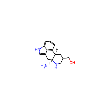 N.OC[C@H]1CN[C@@H]2Cc3c[nH]c4cccc(c34)[C@H]2C1